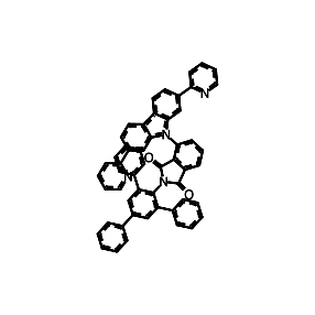 O=C1c2cccc(-n3c4cc(-c5ccccn5)ccc4c4ccc(-c5ccccn5)cc43)c2C(=O)N1c1c(-c2ccccc2)cc(-c2ccccc2)cc1-c1ccccc1